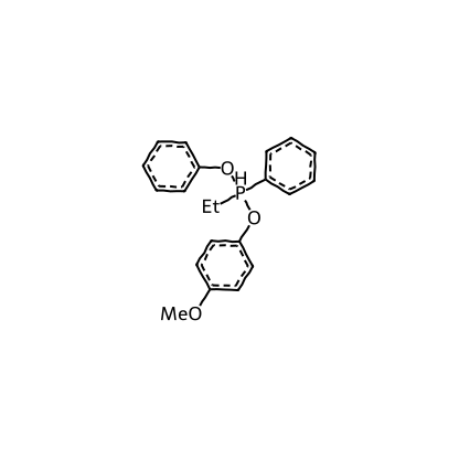 CC[PH](Oc1ccccc1)(Oc1ccc(OC)cc1)c1ccccc1